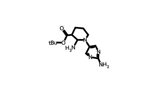 CC(C)(C)OC(=O)C1CCCN(c2cnc(N)nc2)C1N